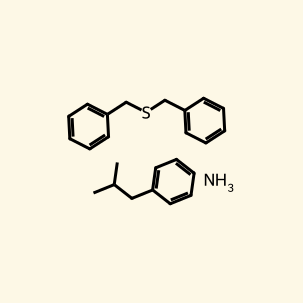 CC(C)Cc1ccccc1.N.c1ccc(CSCc2ccccc2)cc1